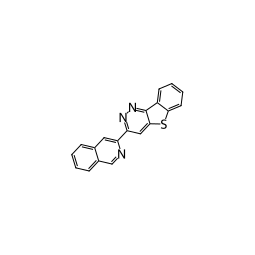 c1ccc2cc(-c3cc4sc5ccccc5c4nn3)ncc2c1